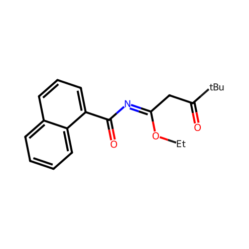 CCOC(CC(=O)C(C)(C)C)=NC(=O)c1cccc2ccccc12